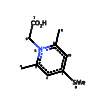 CSc1cc(C)[n+](CC(=O)O)c(C)c1